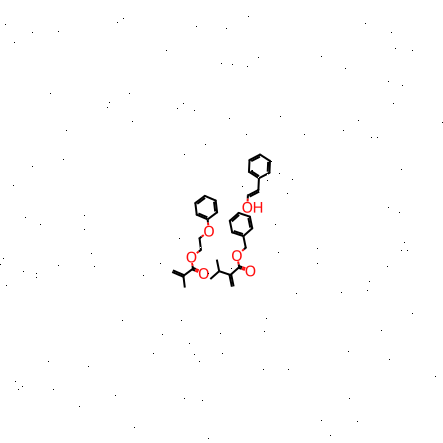 C=C(C(=O)OCc1ccccc1)C(C)C.C=C(C)C(=O)OCCOc1ccccc1.OC=Cc1ccccc1